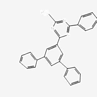 Cc1nc(-c2ccccc2)nc(-c2cc(-c3ccccc3)cc(-c3ccccc3)c2)n1